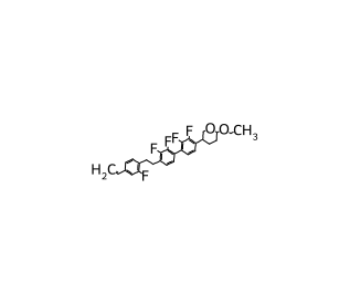 C=Cc1ccc(CCc2ccc(-c3ccc(C4CCC(OCC)OC4)c(F)c3F)c(F)c2F)c(F)c1